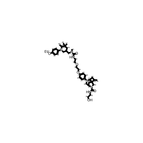 CCOc1ccc(N2CC(CN(C)C(=O)NCCOCCOc3ccc(N4CC5CC6(CN5C(=O)NCCO)C(C)CC46)cc3)CC(C)(C)C2C)cc1